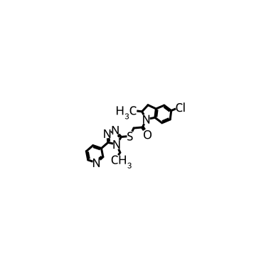 CCn1c(SCC(=O)N2c3ccc(Cl)cc3CC2C)nnc1-c1cccnc1